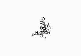 CC(C)CCC[C@@H](C)[C@H]1C[C@H](O)[C@@]2(C)C3=CCC4C(C)(C)[C@@H](OC(=O)c5ccccc5)CC[C@]4(C)[C@H]3CC[C@]12C